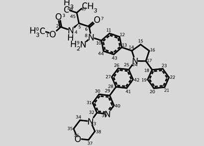 COC(=O)N[C@H](C(=O)N(N)c1ccc(C2CCC(c3ccccc3)N2c2ccc(-c3ccc(N4CCOCC4)nc3)cc2)cc1)C(C)C